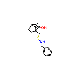 CC1(C)C2CCC1(CSNCc1ccccc1)C(O)C2